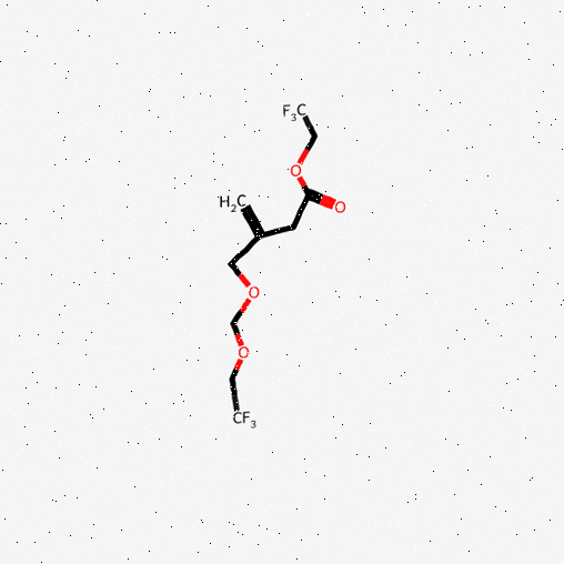 C=C(COCOCC(F)(F)F)CC(=O)OCC(F)(F)F